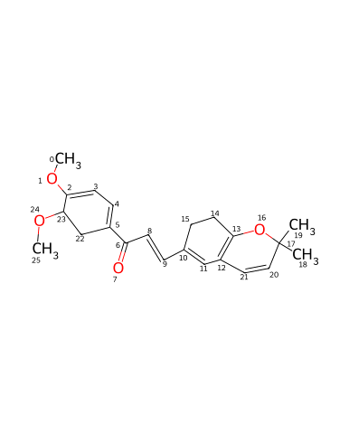 COC1=CC=C(C(=O)/C=C/C2=CC3=C(CC2)OC(C)(C)C=C3)CC1OC